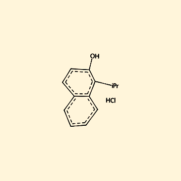 CC(C)c1c(O)ccc2ccccc12.Cl